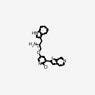 N[C@H](COc1cnc(Cl)c(-c2cc3ccncc3s2)c1)Cc1c[nH]c2ccccc12